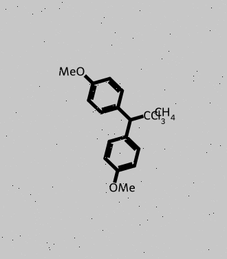 C.COc1ccc(C(c2ccc(OC)cc2)C(Cl)(Cl)Cl)cc1